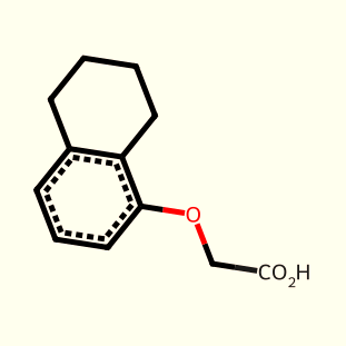 O=C(O)COc1cccc2c1CCCC2